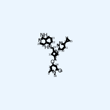 Cc1cc(OCC23CN(c4ccc(C5CC5)nn4)C(CNc4cccc5c(N)nccc45)(C2)C3)cc(=O)n1C